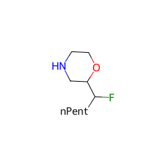 CCCCCC(F)C1CNCCO1